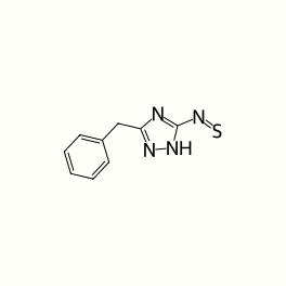 S=Nc1nc(Cc2ccccc2)n[nH]1